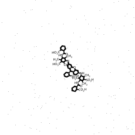 Cc1c(/N=c2\ccc3c(-c4ccccc4S(=O)(=O)O)c4ccc(Nc5c(C)c(NC(=O)c6ccccc6C(=O)O)c(C)c(S(=O)(=O)O)c5C)cc4oc-3c2)c(C)c(S(=O)(=O)O)c(C)c1NC(=O)c1ccccc1C(=O)O